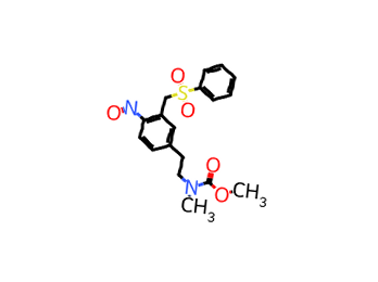 COC(=O)N(C)CCc1ccc(N=O)c(CS(=O)(=O)c2ccccc2)c1